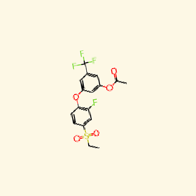 CCS(=O)(=O)c1ccc(Oc2cc(OC(C)=O)cc(C(F)(F)F)c2)c(F)c1